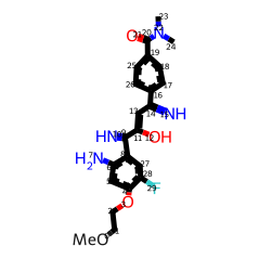 COCCOc1cc(N)c(C(=N)/C(O)=C/C(=N)c2ccc(C(=O)N(C)C)cc2)cc1F